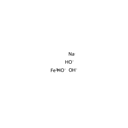 [Fe+3].[Na].[OH-].[OH-].[OH-]